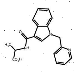 CC(NC(=O)c1cn(Cc2ccccn2)c2ccccc12)C(=O)O